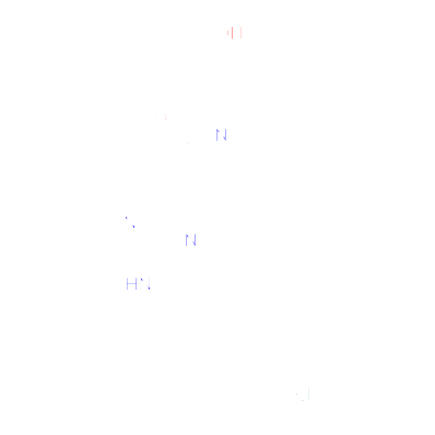 CC(C)(O)[C@@H]1CCN1C(=O)c1cnc(NC2Cc3ccc(Cl)cc3C2)nc1